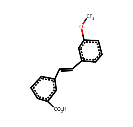 O=C(O)c1cccc(C=Cc2cccc(OC(F)(F)F)c2)c1